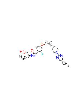 CC[C@@H](CO)NC(=O)Cc1ccc(OCC[C@@H]2C[C@@H]2C2CCN(c3ncc(C)cn3)CC2)cc1F